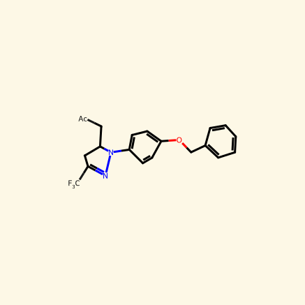 CC(=O)CC1CC(C(F)(F)F)=NN1c1ccc(OCc2ccccc2)cc1